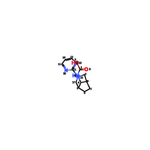 O=C(O)NC1C2CCC1CN(c1ncccn1)C2